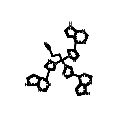 N#CCCC(n1cc(-c2ncnc3[nH]ccc23)cn1)(n1cc(-c2ncnc3[nH]ccc23)cn1)n1cc(-c2ncnc3[nH]ccc23)cn1